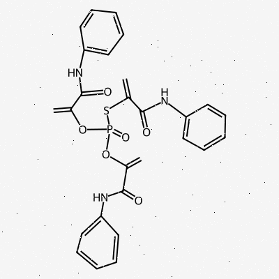 C=C(OP(=O)(OC(=C)C(=O)Nc1ccccc1)SC(=C)C(=O)Nc1ccccc1)C(=O)Nc1ccccc1